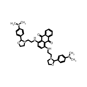 CN(C)c1ccc(C2OCCN2CCNc2ccc(NCCN3CCOC3c3ccc(N(C)C)cc3)c3c2C(=O)c2ccccc2C3=O)cc1